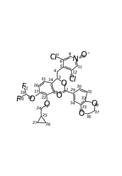 O=C(OC(Cc1c(Cl)c[n+]([O-])cc1Cl)c1ccc(OC(F)F)c(OCC2CC2)c1)c1ccc2c(c1)OCCO2